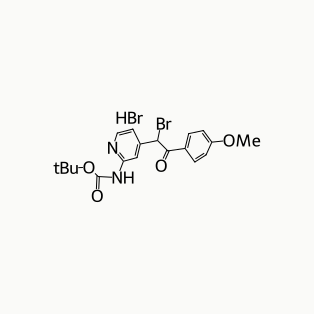 Br.COc1ccc(C(=O)C(Br)c2ccnc(NC(=O)OC(C)(C)C)c2)cc1